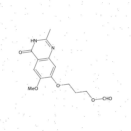 COc1cc2c(=O)[nH]c(C)nc2cc1OCCCOC=O